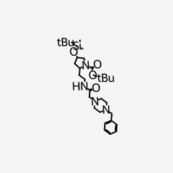 CC(C)(C)OC(=O)N1CC(O[Si](C)(C)C(C)(C)C)CC1CCNC(=O)CN1CCN(Cc2ccccc2)CC1